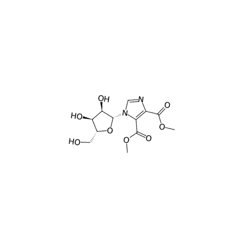 COC(=O)c1ncn([C@@H]2O[C@H](CO)[C@@H](O)[C@H]2O)c1C(=O)OC